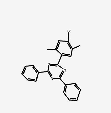 Cc1cc(-c2nc(-c3ccccc3)nc(-c3ccccc3)n2)c(C)cc1Br